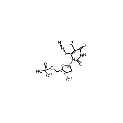 [N-]=[N+]=Nc1c(Cl)c(=O)[nH]c(=O)n1[C@H]1C[C@H](O)[C@@H](COP(=O)(O)O)O1